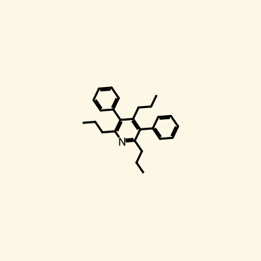 CCCc1nc(CCC)c(-c2ccccc2)c(CCC)c1-c1ccccc1